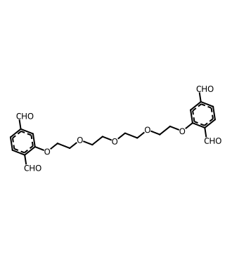 O=Cc1ccc(C=O)c(OCCOCCOCCOCCOc2cc(C=O)ccc2C=O)c1